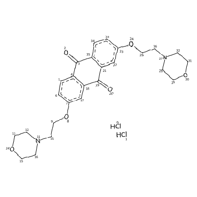 Cl.Cl.O=C1c2ccc(OCCN3CCOCC3)cc2C(=O)c2cc(OCCN3CCOCC3)ccc21